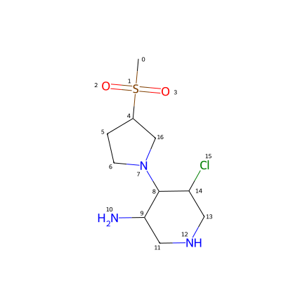 CS(=O)(=O)C1CCN(C2C(N)CNCC2Cl)C1